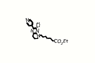 CCOC(=O)CCCCCCN1CCCc2nc(-c3ccncc3)c(Cl)nc21